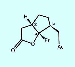 CC[C@@]12OC(=O)C[C@@H]1CC[C@H]2CC(C)=O